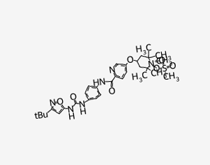 CC(C)(C)c1cc(NC(=O)Nc2ccc(NC(=O)c3ccc(OC4CC(C)(C)[N+](C)(OS(C)(=O)=O)C(C)(C)C4)cn3)cc2)on1